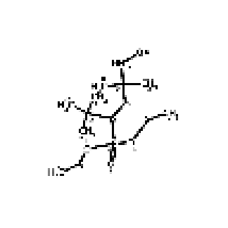 CCOP(=O)(OCC)C(CC(C)(C)N[O])C(C)(C)C